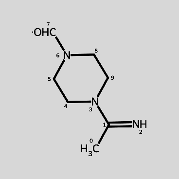 CC(=N)N1CCN([C]=O)CC1